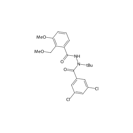 COCc1c(OC)cccc1C(=O)NN(C(=O)c1cc(Cl)cc(Cl)c1)C(C)(C)C